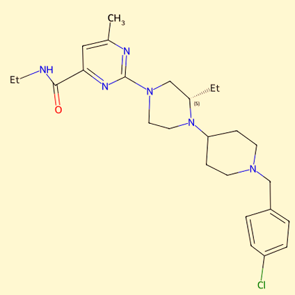 CCNC(=O)c1cc(C)nc(N2CCN(C3CCN(Cc4ccc(Cl)cc4)CC3)[C@@H](CC)C2)n1